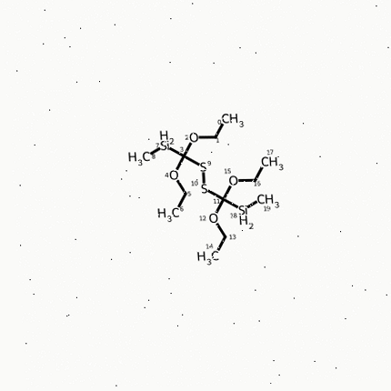 CCOC(OCC)([SiH2]C)SSC(OCC)(OCC)[SiH2]C